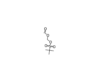 CC(C)(C)S(=O)(=O)OCO[C]=O